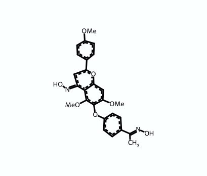 COc1ccc(-c2cc(=NO)c3c(OC)c(Oc4ccc(C(C)=NO)cc4)c(OC)cc3o2)cc1